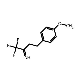 COc1ccc(CCC(=N)C(F)(F)F)cc1